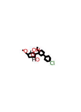 CCc1ccc(-c2ccc(Cl)cc2)cc1C1=C(O)[C@]2(C)O[C@@H](CC2COC)C1=O